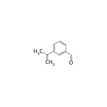 C=C(C)c1cccc(C=O)c1